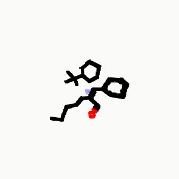 CC(C)(C)C1[CH]CCCC1.CCCCC/C(C=O)=C/c1ccccc1